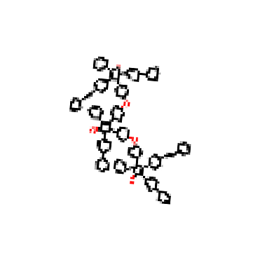 O=C1C(c2ccc(-c3ccccc3)cc2)=C(c2ccc(C#Cc3ccccc3)cc2)C(c2ccc(Oc3ccc(C4=C(c5ccc(-c6ccccc6)cc5)C(=O)C(c5ccccc5)=C4c4ccc(Oc5ccc(C6=C(c7ccc(-c8ccccc8)cc7)C(=O)C(c7ccccc7)=C6c6ccc(C#Cc7ccccc7)cc6)cc5)cc4)cc3)cc2)=C1c1ccccc1